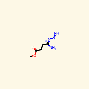 COC(=O)CC/C(N)=N/N=N